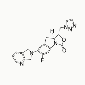 O=C1O[C@@H](Cn2ccnn2)[C@@H]2Cc3cc(N4Cc5cccnc5C4)c(F)cc3N12